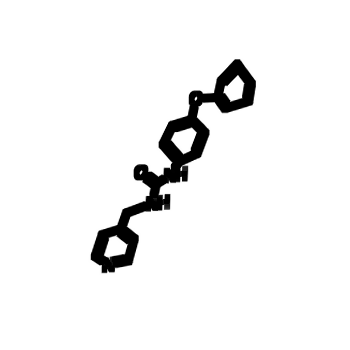 O=C(NCc1ccncc1)Nc1ccc(Oc2ccccc2)cc1